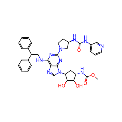 COC(=O)N[C@H]1CC(n2cnc3c(NCC(c4ccccc4)c4ccccc4)nc(N4CC[C@@H](NC(=O)Nc5cccnc5)C4)nc32)[C@H](O)[C@@H]1O